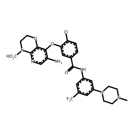 CN1CCN(c2cc(NC(=O)c3ccc(Cl)c(Oc4c(N)cnc5c4OCCN5C(=O)O)c3)cc(C(F)(F)F)c2)CC1